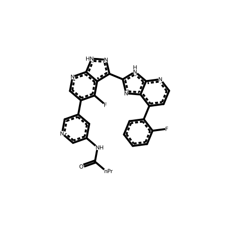 CCCC(=O)Nc1cncc(-c2cnc3[nH]nc(-c4nc5c(-c6ccccc6F)ccnc5[nH]4)c3c2F)c1